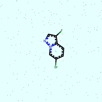 Fc1cnn2cc(Br)ccc12